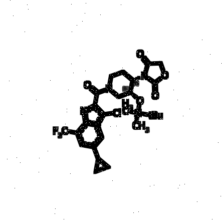 CC(C)(C)[Si](C)(C)O[C@H]1CN(C(=O)c2nc3c(C(F)(F)F)cc(C4CC4)cn3c2Cl)CC[C@@H]1N1C(=O)COC1=O